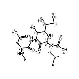 CN[C@@H](CC(=O)O)C(=O)NC(C(=O)N[C@@H](CSC)C(=O)O)C(O)C(O)C(O)CO